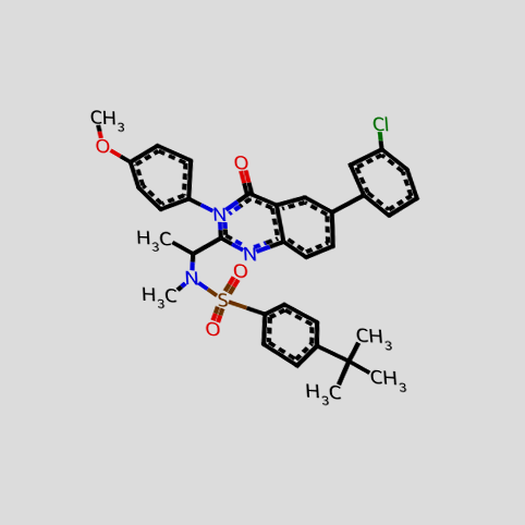 COc1ccc(-n2c(C(C)N(C)S(=O)(=O)c3ccc(C(C)(C)C)cc3)nc3ccc(-c4cccc(Cl)c4)cc3c2=O)cc1